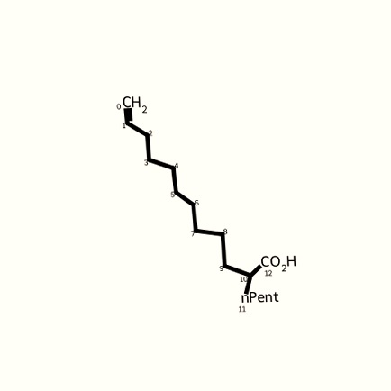 C=CCCCCCCCCC(CCCCC)C(=O)O